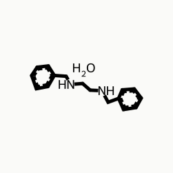 O.c1ccc(CNCCNCc2ccccc2)cc1